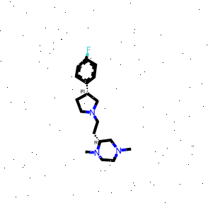 CN1CCN(C)[C@H](CCN2CC[C@H](c3ccc(F)cc3)C2)C1